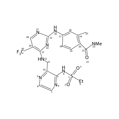 CCS(=O)(=O)Nc1nccnc1CNc1nc(Nc2ccc(C(=O)NC)c(C)c2)ncc1C(F)(F)F